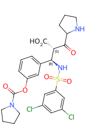 O=C(O)[C@H](C(=O)C1CCCN1)[C@@H](NS(=O)(=O)c1cc(Cl)cc(Cl)c1)c1cccc(OC(=O)N2CCCC2)c1